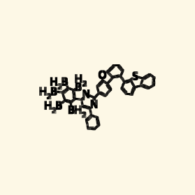 Bc1c(B)c(B)c(-c2cc(-c3ccccc3)nc(-c3ccc4c(c3)oc3cccc(-c5cccc6c5sc5ccccc56)c34)n2)c(B)c1B